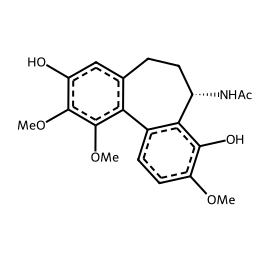 COc1ccc2c(c1O)[C@@H](NC(C)=O)CCc1cc(O)c(OC)c(OC)c1-2